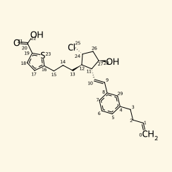 C=CCCc1cccc(/C=C/[C@@H]2[C@@H](CCCc3ccc(C(=O)O)s3)[C@H](Cl)C[C@H]2O)c1